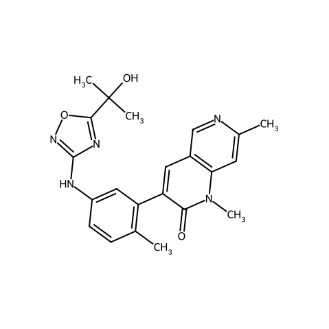 Cc1cc2c(cn1)cc(-c1cc(Nc3noc(C(C)(C)O)n3)ccc1C)c(=O)n2C